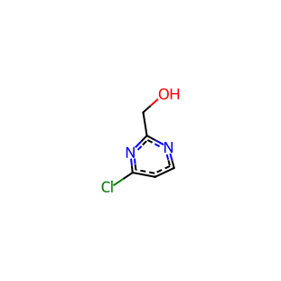 OCc1nccc(Cl)n1